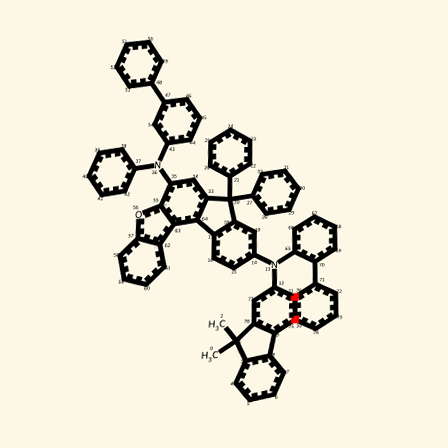 CC1(C)c2ccccc2-c2ccc(N(c3ccc4c(c3)C(c3ccccc3)(c3ccccc3)c3cc(N(c5ccccc5)c5cccc(-c6ccccc6)c5)c5oc6ccccc6c5c3-4)c3ccccc3-c3ccccc3)cc21